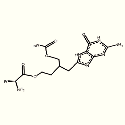 CCCC(=O)OCC(CCOC(=O)[C@@H](N)C(C)C)Cc1nc2nc(N)[nH]c(=O)c2[nH]1